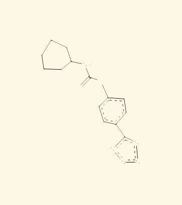 O=C(NC1CCCCC1)Oc1ccc(-c2nnn[nH]2)cc1